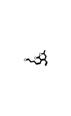 C=CC1=C(/C=C\CCC=O)C(=O)OC(C)C1